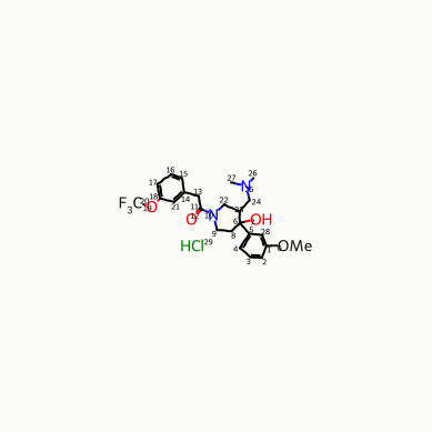 COc1cccc(C2(O)CCN(C(=O)Cc3cccc(OC(F)(F)F)c3)CC2CN(C)C)c1.Cl